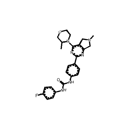 CC1COCCN1c1nc(-c2ccc(NC(=O)Nc3ccc(F)cc3)cc2)nc2c1CN(C)C2